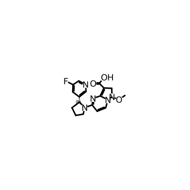 CON1CC(C(=O)O)=C2N=C(N3CCC[C@@H]3c3cncc(F)c3)C=CN21